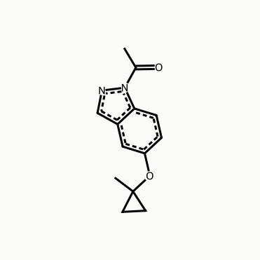 CC(=O)n1ncc2cc(OC3(C)CC3)ccc21